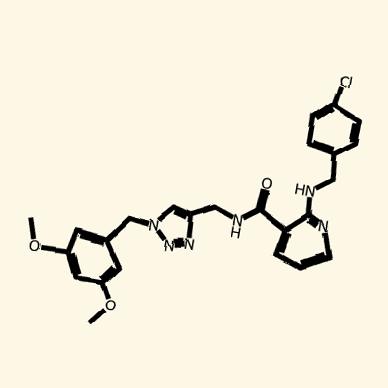 COc1cc(Cn2cc(CNC(=O)c3cccnc3NCc3ccc(Cl)cc3)nn2)cc(OC)c1